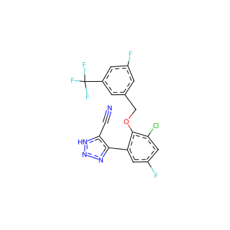 N#Cc1[nH]nnc1-c1cc(F)cc(Cl)c1OCc1cc(F)cc(C(F)(F)F)c1